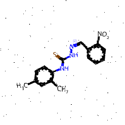 Cc1ccc(NC(=S)N/N=C\c2ccccc2[N+](=O)[O-])c(C)c1